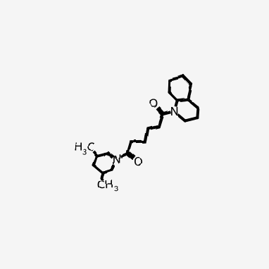 CC1CC(C)CN(C(=O)CCCCC(=O)N2CCCC3CCCCC32)C1